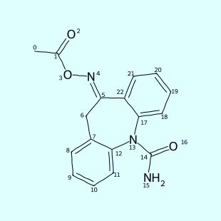 CC(=O)ON=C1Cc2ccccc2N(C(N)=O)c2ccccc21